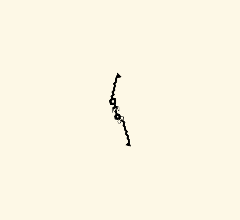 c1cc(-c2cnc(-c3ccc4c(c3)OC(CCCCCCCCCC3CC3)O4)nc2)ccc1CCCCCCCCCC1CC1